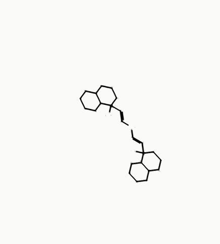 OC1(C=COC=CC2(O)CCCC3CCCCC32)CCCC2CCCCC21